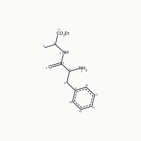 CCOC(=O)C(C)NC(=O)C(N)Cc1ccccc1